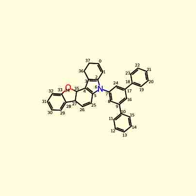 C1=Cc2c(c3c(n2-c2cc(-c4ccccc4)cc(-c4ccccc4)c2)C=CC2c4ccccc4OC32)CC1